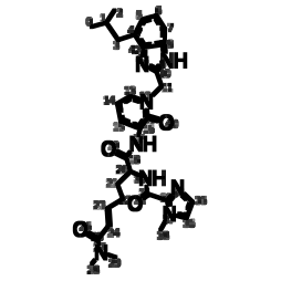 CC(C)Cc1cccc2[nH]c(Cn3cccc(NC(=O)C(CC/C=C/C(=O)N(C)C)NC(=O)c4nccn4C)c3=O)nc12